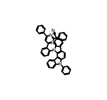 N#Cc1ccc2c3ccc4c(c5ccccc5n4-c4ccccc4)c3n(-c3ccccc3-c3cc(-c4ccccc4)nc(-c4ccccc4)n3)c2c1